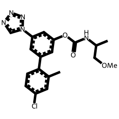 COCC(C)NC(=O)Oc1cc(-c2ccc(Cl)cc2C)cc(-n2cnnn2)c1